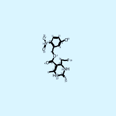 CC1=C(C(=O)OCc2cc(Cl)ccc2[N+](=O)[O-])C(CF)NC(=S)N1